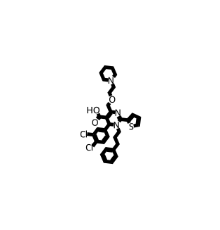 O=C(O)C1=C(COCCN2CCCCC2)N=C(c2cccs2)N(CCCc2ccccc2)C1c1ccc(Cl)c(Cl)c1